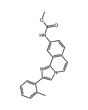 COC(=O)Nc1ccc2ccn3cc(-c4ccccc4C)nc3c2c1